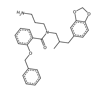 CC(Cc1ccc2c(c1)OCO2)CN(CCCN)C(=O)c1ccccc1OCc1ccccc1